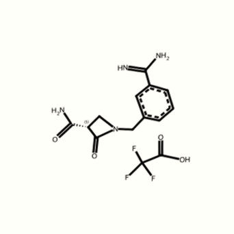 N=C(N)c1cccc(CN2C[C@@H](C(N)=O)C2=O)c1.O=C(O)C(F)(F)F